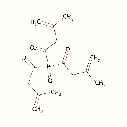 C=C(C)CC(=O)P(=O)(C(=O)CC(=C)C)C(=O)CC(=C)C